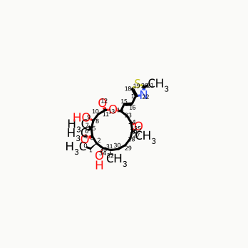 CC[C@H]1C(=O)C(C)(C)C(O)CC(=O)OC(C=Cc2csc(C)n2)CC2O[C@]2(C)CCC[C@H](C)[C@@H]1O